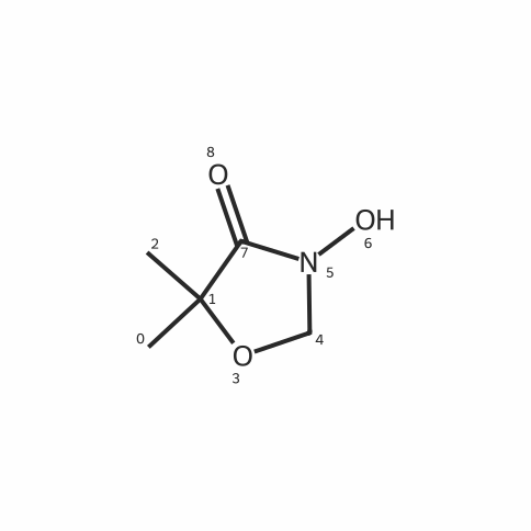 CC1(C)OCN(O)C1=O